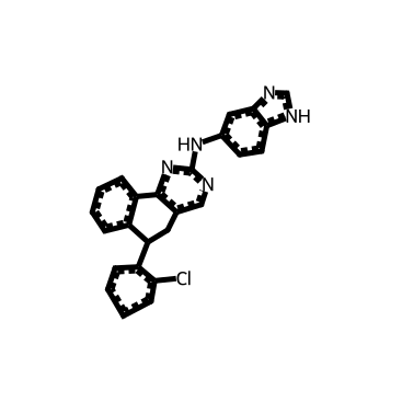 Clc1ccccc1C1Cc2cnc(Nc3ccc4[nH]cnc4c3)nc2-c2ccccc21